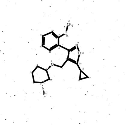 CC[C@@H]1CCC[C@@H](OCc2c(-c3ccccc3OC(F)(F)F)noc2C2CC2)C1